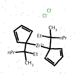 CCCC(C)(CC)[C]1([Zr+2][C]2(C(C)(CC)CCC)C=CC=C2)C=CC=C1.[Cl-].[Cl-]